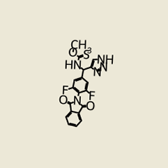 COC(=S)NC(c1cc(F)c(N2C(=O)c3ccccc3C2=O)c(F)c1)c1c[nH]nn1